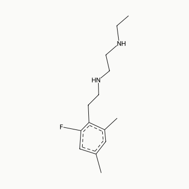 CCNCCNCCc1c(C)cc(C)cc1F